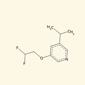 CC(C)c1cncc(OCC(F)F)c1